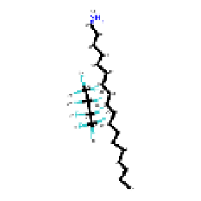 CCCCCCCCCCCCCCCCCCN.FC(F)(F)C(F)(F)C(F)(F)C(F)(F)F